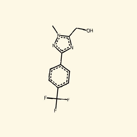 Cn1nc(-c2ccc(C(F)(F)F)cc2)nc1CO